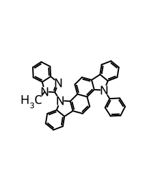 Cn1c(-n2c3ccccc3c3ccc4c(ccc5c6ccccc6n(-c6ccccc6)c54)c32)nc2ccccc21